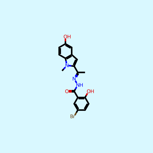 C/C(=N\NC(=O)c1cc(Br)ccc1O)c1cc2cc(O)ccc2n1C